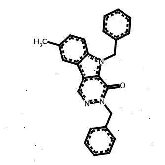 Cc1ccc2c(c1)c1cnn(Cc3ccccc3)c(=O)c1n2Cc1ccccc1